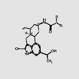 CCCN1C[C@@H](NC(=O)N(CC)CC)CC2c3cc(C(C)O)cc4[nH]c(Cl)c(c34)C[C@H]21